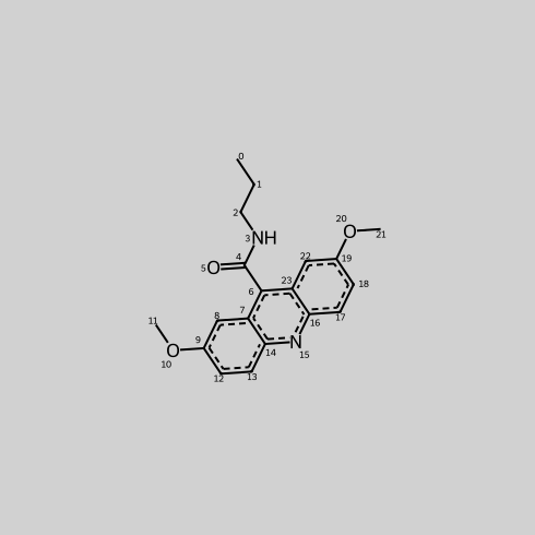 CCCNC(=O)c1c2cc(OC)ccc2nc2ccc(OC)cc12